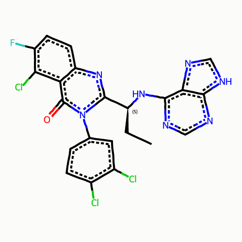 CC[C@H](Nc1ncnc2[nH]cnc12)c1nc2ccc(F)c(Cl)c2c(=O)n1-c1ccc(Cl)c(Cl)c1